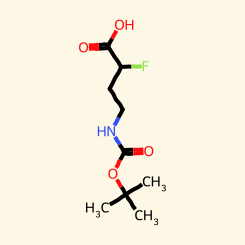 CC(C)(C)OC(=O)NCCC(F)C(=O)O